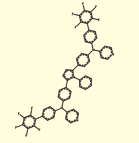 Fc1c(F)c(F)c(-c2ccc(N(c3ccncc3)c3ccc(-c4ccc(-c5ccc(N(c6ccncc6)c6ccc(-c7c(F)c(F)c(F)c(F)c7F)cc6)cc5)n4-c4ccccc4)cc3)cc2)c(F)c1F